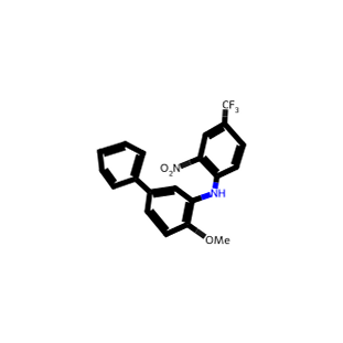 COc1ccc(-c2ccccc2)cc1Nc1ccc(C(F)(F)F)cc1[N+](=O)[O-]